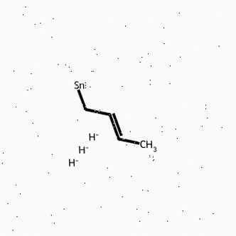 CC=C[CH2][Sn].[H-].[H-].[H-]